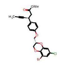 CC#C[C@@H](CC(=O)OC)c1ccc(OC[C@H]2COc3c(Br)cc(Cl)cc3O2)cc1